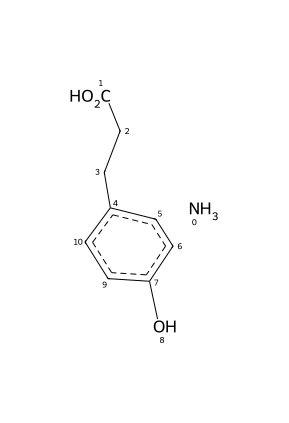 N.O=C(O)CCc1ccc(O)cc1